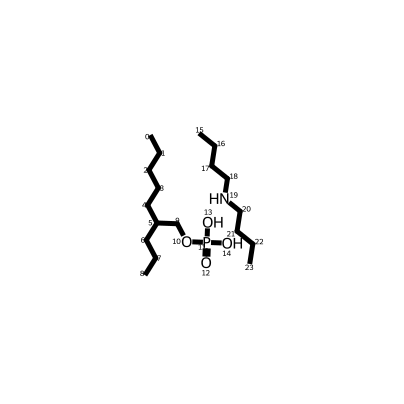 CCCCCC(CCC)COP(=O)(O)O.CCCCNCCCC